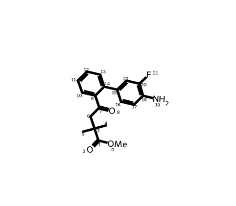 COC(=O)C(C)(C)CC(=O)c1ccccc1-c1ccc(N)c(F)c1